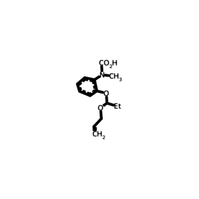 C=CCOC(CC)Oc1ccccc1N(C)C(=O)O